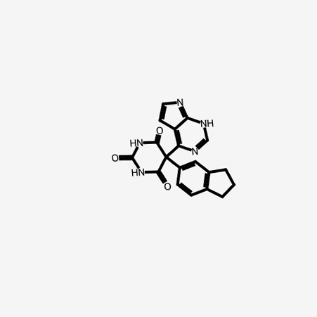 O=C1NC(=O)C(c2ccc3c(c2)CCC3)(c2nc[nH]c3nccc2-3)C(=O)N1